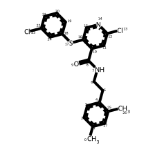 Cc1ccc(CCNC(=O)c2cc(Cl)ncc2Sc2cccc(Cl)c2)c(C)c1